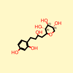 Oc1ccc(CCC(O)CC2OC[C@@H](O)[C@H](O)[C@H]2O)c(O)c1